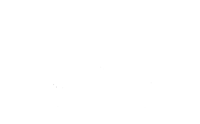 C=CCn1c2c(c3ccccc31)CCNC2